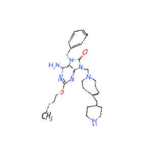 CCCCOc1nc(N)c2c(n1)n(CN1CCC(C3CCNCC3)CC1)c(=O)n2Cc1ccccc1